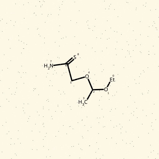 CCOC(C)OCC(N)=S